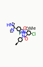 C#Cc1ccc(NC(=O)c2cc(Cl)cc(OC)c2NC(=O)c2ccc(C(=C3CCN3)N3CCC3)cc2F)cc1